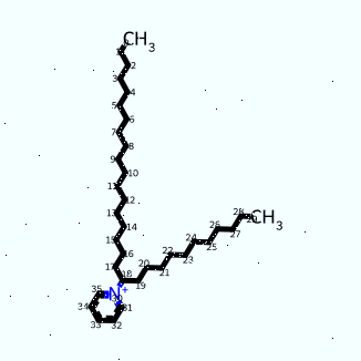 CCCCCCCCCCCCCCCCCCC(CCCCCCCCCCC)[n+]1ccccc1